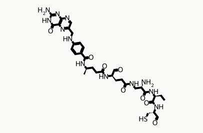 CC[C@H](NC(=O)[C@@H](N)CNC(=O)CC[C@H](C=O)NC(=O)CC[C@@H](C)NC(=O)c1ccc(NCc2cnc3nc(N)[nH]c(=O)c3n2)cc1)C(=O)N[C@H](C=O)CS